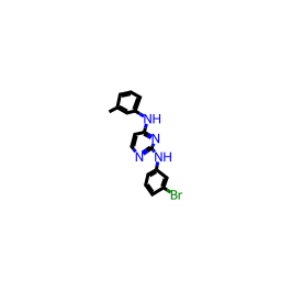 Cc1cccc(Nc2ccnc(Nc3cccc(Br)c3)n2)c1